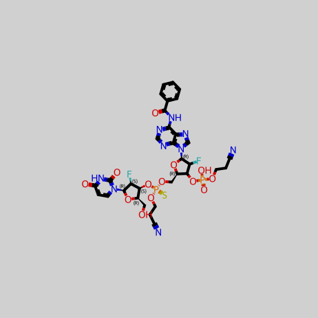 N#CCCOP(=O)(O)OC1C(F)[C@H](n2cnc3c(NC(=O)c4ccccc4)ncnc32)O[C@@H]1COP(=S)(OCCC#N)O[C@@H]1[C@H](F)[C@H](n2ccc(=O)[nH]c2=O)O[C@@H]1CO